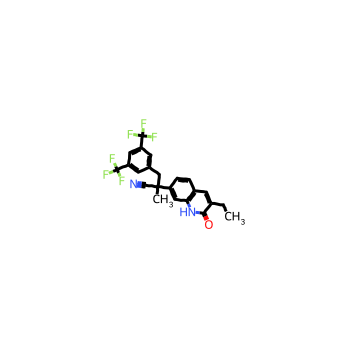 CCc1cc2ccc(C(C)(C#N)Cc3cc(C(F)(F)F)cc(C(F)(F)F)c3)cc2[nH]c1=O